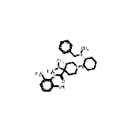 Cc1cccc(C)c1NC(=O)C1(N(C)C)CCN([C@@H]2CCCC[C@H]2N(C)Cc2ccccc2)CC1